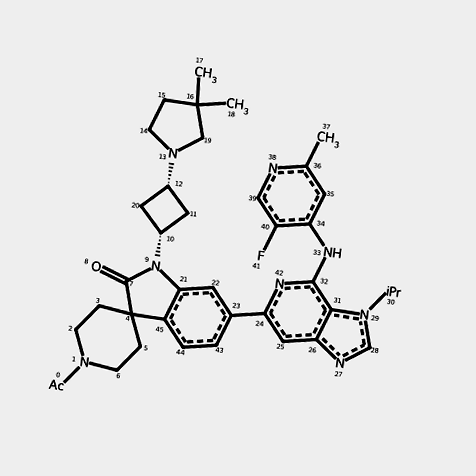 CC(=O)N1CCC2(CC1)C(=O)N([C@H]1C[C@@H](N3CCC(C)(C)C3)C1)c1cc(-c3cc4ncn(C(C)C)c4c(Nc4cc(C)ncc4F)n3)ccc12